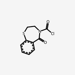 O=C(Cl)N1CCSc2ccccc2C1=O